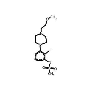 COCCN1CCN(c2cccc(OS(C)(=O)=O)c2F)CC1